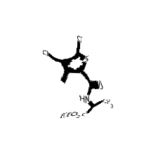 CCOC(=O)C(NC(=O)c1sc(Cl)c(Cl)c1C)C(F)(F)F